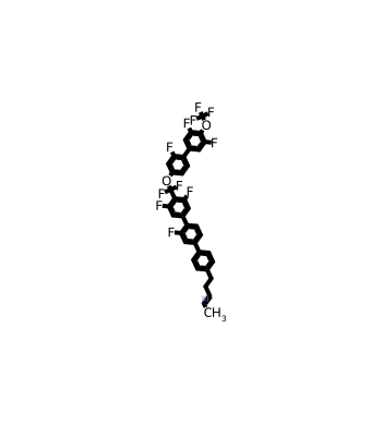 C/C=C/CCc1ccc(-c2ccc(-c3cc(F)c(C(F)(F)Oc4ccc(-c5cc(F)c(OC(F)(F)F)c(F)c5)c(F)c4)c(F)c3)c(F)c2)cc1